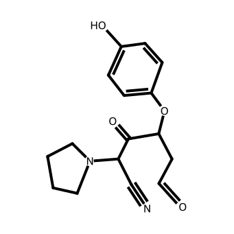 N#CC(C(=O)C(CC=O)Oc1ccc(O)cc1)N1CCCC1